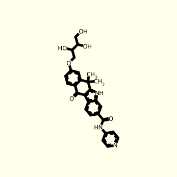 CC1(C)c2cc(OCC(O)C(O)CO)ccc2C(=O)c2c1[nH]c1cc(C(=O)Nc3ccncc3)ccc21